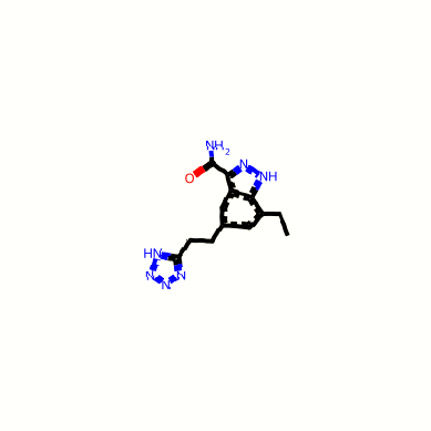 CCc1cc(C[CH]c2nnn[nH]2)cc2c(C(N)=O)n[nH]c12